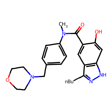 CCCCc1n[nH]c2cc(O)c(C(=O)N(C)c3ccc(CN4CCOCC4)cc3)cc12